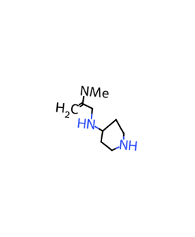 C=C(CNC1CCNCC1)NC